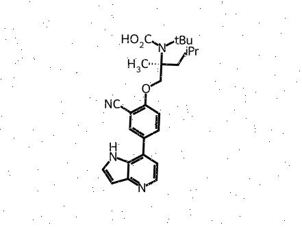 CC(C)C[C@@](C)(COc1ccc(-c2ccnc3cc[nH]c23)cc1C#N)N(C(=O)O)C(C)(C)C